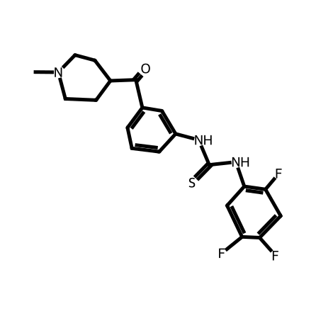 CN1CCC(C(=O)c2cccc(NC(=S)Nc3cc(F)c(F)cc3F)c2)CC1